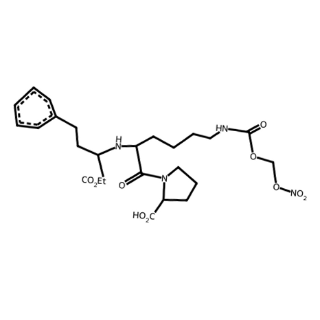 CCOC(=O)C(CCc1ccccc1)NC(CCCCNC(=O)OCO[N+](=O)[O-])C(=O)N1CCCC1C(=O)O